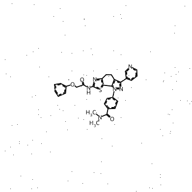 CN(C)C(=O)c1ccc(-n2nc(-c3cccnc3)c3c2-c2sc(NC(=O)COc4ccccc4)nc2CC3)cc1